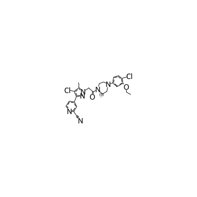 CCOc1cc(N2CCN(C(=O)Cn3nc(-c4ccnc(C#N)c4)c(Cl)c3C)[C@@H](C)C2)ccc1Cl